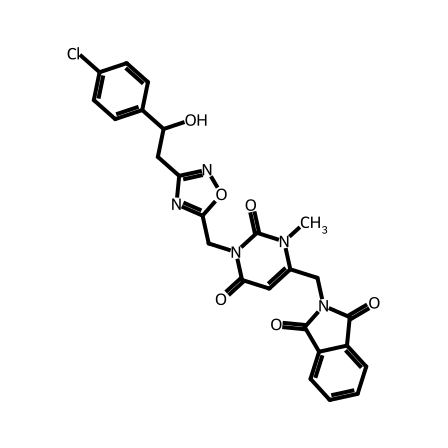 Cn1c(CN2C(=O)c3ccccc3C2=O)cc(=O)n(Cc2nc(CC(O)c3ccc(Cl)cc3)no2)c1=O